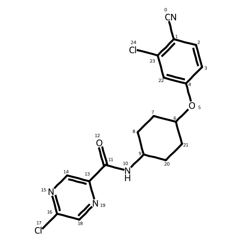 N#Cc1ccc(OC2CCC(NC(=O)c3cnc(Cl)cn3)CC2)cc1Cl